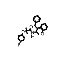 CC(NC(=O)C(C)(C)Oc1ccc(F)cc1)C(Cc1ccccc1)c1ccccc1Cl